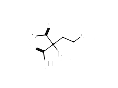 CCCC(N)(C(C)=O)C(N)=O